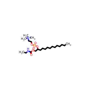 CCCCCCCCCCCCC(COC(=O)NCC)OP(=O)([O-])OCC[N+](C)(C)C